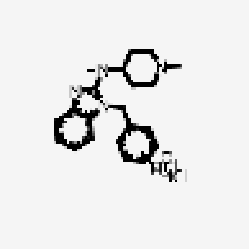 CN1CCC(Nc2nc3ccccc3n2Cc2ccccc2)CC1.Cl.Cl.O